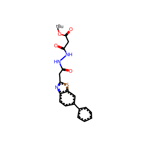 CC(C)(C)OC(=O)CC(=O)NNC(=O)Cc1nc2ccc(-c3ccccc3)cc2s1